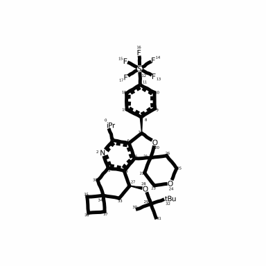 CC(C)c1nc2c(c3c1[C@@H](c1ccc(S(F)(F)(F)(F)F)cc1)OC31CCOCC1)[C@@H](OC(C)(C)C(C)(C)C)CC1(CCC1)C2